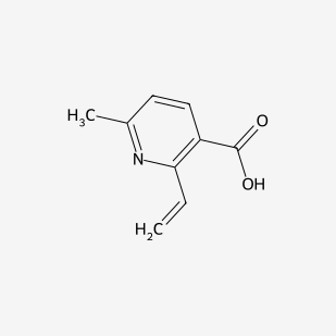 C=Cc1nc(C)ccc1C(=O)O